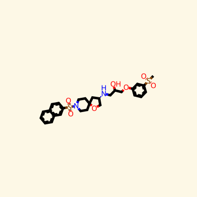 CS(=O)(=O)c1cccc(OCC(O)CN[C@@H]2COC3(CCN(S(=O)(=O)c4ccc5ccccc5c4)CC3)C2)c1